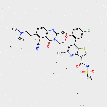 Cc1cc(-c2cc(Cl)ccc2OCCn2c(C)nc3ccc(CCN(C)C)c(C#N)c3c2=O)c2scc(C(=O)NS(C)(=O)=O)c2n1